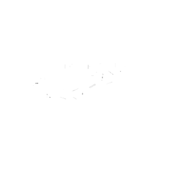 Cl.O=C(O)C1CCN(CC2=Cc3c(F)cc(C#Cc4ccc(C(F)(F)F)cc4C(F)(F)F)cc3OC2)C1